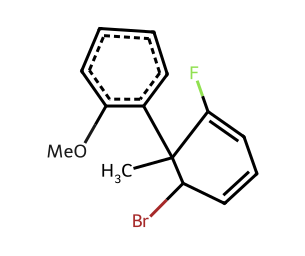 COc1ccccc1C1(C)C(F)=CC=CC1Br